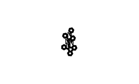 c1ccc(N2c3ccccc3-c3nc(-n4c5ccccc5c5c6ccccc6c6ccccc6c54)nc4cccc2c34)cc1